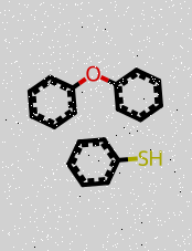 Sc1ccccc1.c1ccc(Oc2ccccc2)cc1